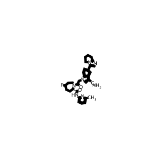 Cc1cccc(NC(=O)[C@@H]2CCC(F)CCN2C(=O)Cn2cc(CN)c3cc(-c4cnc5n4CCCC5)ccc32)n1